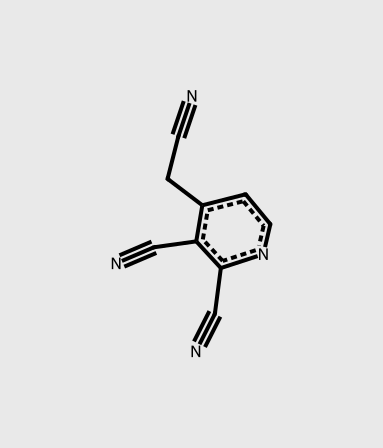 N#CCc1ccnc(C#N)c1C#N